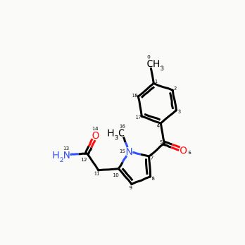 Cc1ccc(C(=O)c2ccc(CC(N)=O)n2C)cc1